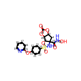 O=C1OC2CC(NS(=O)(=O)c3ccc(Oc4ccccn4)cc3)(C(=O)NO)CC2O1